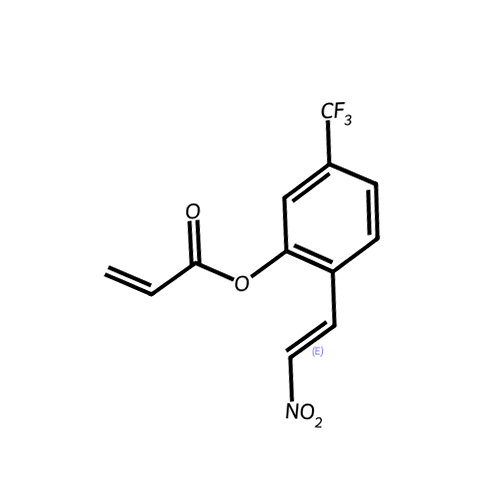 C=CC(=O)Oc1cc(C(F)(F)F)ccc1/C=C/[N+](=O)[O-]